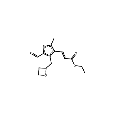 CCOC(=O)C=Cc1c(C)nc(C=O)n1CC1CCO1